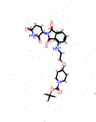 CC(C)(C)OC(=O)N1CCC(OCCNc2cccc3c2C(=O)N(C2CCC(=O)NC2=O)C3=O)CC1